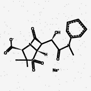 CN(C(=O)[C@@H](O)[C@@H]1C(=O)N2[C@@H](C(=O)[O-])C(C)(C)S(=O)(=O)[C@H]12)c1ccccc1.[Na+]